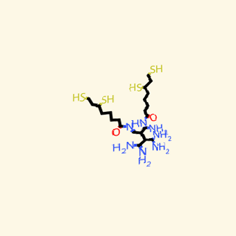 NC(N)C(C(N)N)C(/C=N/C(=O)CCCCC(S)CCS)C(N)NC(=O)CCCCC(S)CCS